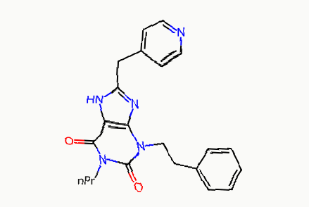 CCCn1c(=O)c2[nH]c(Cc3ccncc3)nc2n(CCc2ccccc2)c1=O